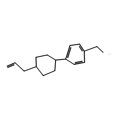 C=CCC1CCC(c2ccc(COC)cc2)CC1